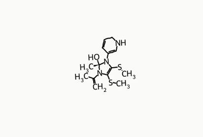 C=C(C)N1C(SC)=C(SC)N(C2=CNCC=C2)[C@@]1(C)O